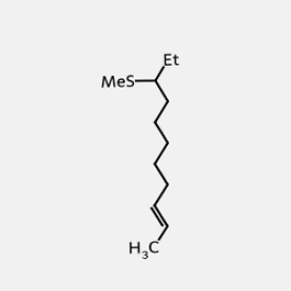 CC=CCCCCCC(CC)SC